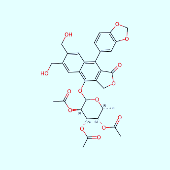 CC(=O)O[C@@H]1[C@H](OC(C)=O)[C@@H](OC(C)=O)C(Oc2c3c(c(-c4ccc5c(c4)OCO5)c4cc(CO)c(CO)cc24)C(=O)OC3)O[C@@H]1C